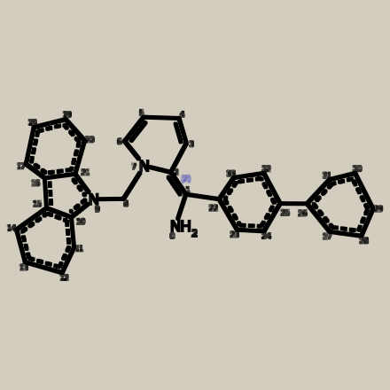 N/C(=C1/C=CC=CN1Cn1c2ccccc2c2ccccc21)c1ccc(-c2ccccc2)cc1